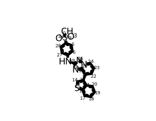 CS(=O)(=O)c1ccc(Nc2nc3c(-c4csc5ccccc45)cccn3n2)cc1